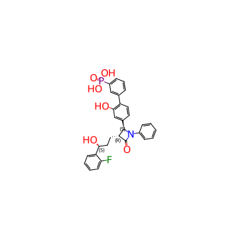 O=C1[C@H](CC[C@H](O)c2ccccc2F)[C@@H](c2ccc(-c3cccc(P(=O)(O)O)c3)c(O)c2)N1c1ccccc1